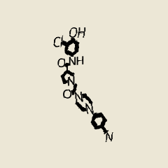 N#Cc1ccc(N2CCN(C(=O)CN3CC[C@@H](C(=O)Nc4ccc(O)c(Cl)c4)C3)CC2)cc1